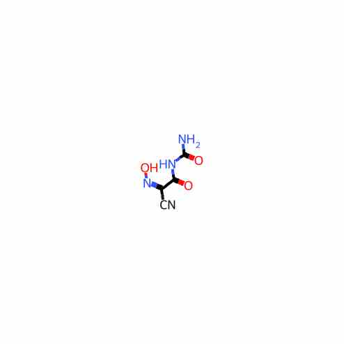 N#CC(=NO)C(=O)NC(N)=O